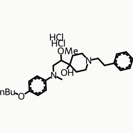 CCCCOc1ccc(N(C)CC(OC)C2(O)CCN(CCc3ccccc3)CC2)cc1.Cl.Cl